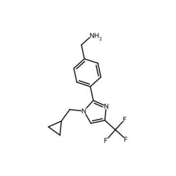 NCc1ccc(-c2nc(C(F)(F)F)cn2CC2CC2)cc1